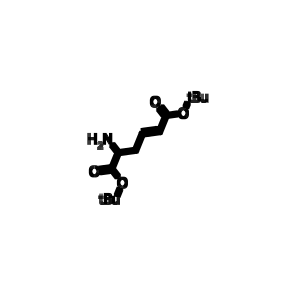 CC(C)(C)OC(=O)C=CCC(N)C(=O)OC(C)(C)C